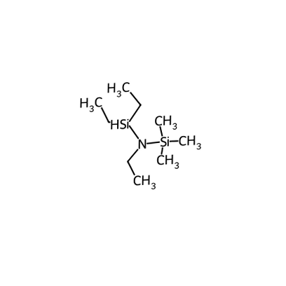 CCN([SiH](CC)CC)[Si](C)(C)C